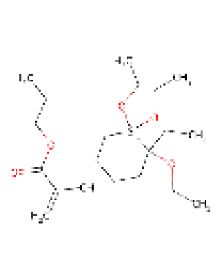 C=C(C)C(=O)OCCC.CCOC1(CC)CCCC[Si]1(OCC)OCC